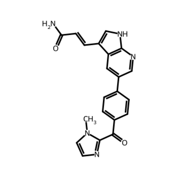 Cn1ccnc1C(=O)c1ccc(-c2cnc3[nH]cc(/C=C/C(N)=O)c3c2)cc1